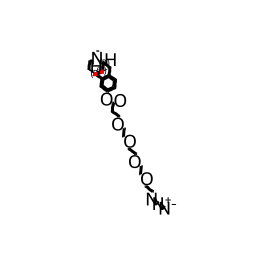 CN1CC[C@]23CCCC[C@H]2[C@H]1Cc1ccc(OC(=O)CCOCCOCCOCCOCCN=[N+]=[N-])cc13